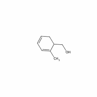 CC1=CC=CCC1CO